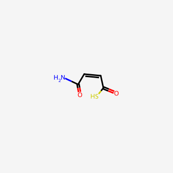 NC(=O)/C=C\C(=O)S